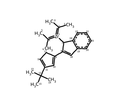 C[C](C)=[Zr](=[C](C)C)[CH]1C(C2=CC(C(C)(C)C)=CC2)=Cc2ccccc21